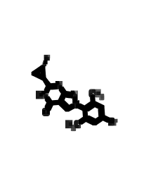 Cc1cc(Br)cc(C)c1-n1cc2c(=O)[nH]c([C@H]3C[C@@H]3F)nc2n1